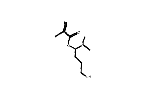 C=C(C)C(=O)OC(CCCO)N(C)C